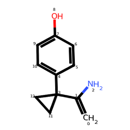 C=C(N)C1(c2ccc(O)cc2)CC1